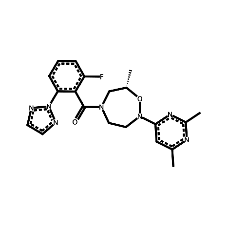 Cc1cc(N2CCN(C(=O)c3c(F)cccc3-n3nccn3)C[C@H](C)O2)nc(C)n1